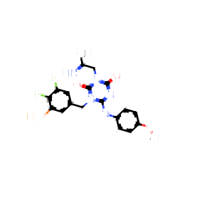 COc1ccc(Nc2nc(=O)n(CC(C)=N)c(=O)n2Cc2cc(F)c(F)c(P)c2)cc1